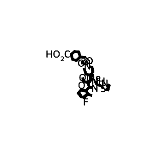 COC(=O)C1=C(C2CCN(S(=O)(=O)CC3CCC(C(=O)O)CC3)CC2)NC(c2nccs2)=NC1c1cccc(F)c1C